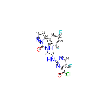 O=C(Cl)c1nc(NCCNC(=O)N2N=CC[C@H]2c2cc(F)cc(F)c2)ncc1F